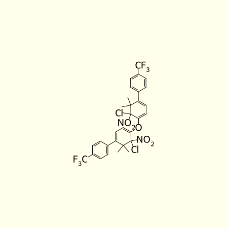 CC1(C)C(c2ccc(C(F)(F)F)cc2)=CC=C(OC2=CC=C(c3ccc(C(F)(F)F)cc3)C(C)(C)C2(Cl)[N+](=O)[O-])C1(Cl)[N+](=O)[O-]